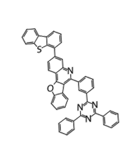 c1ccc(-c2nc(-c3ccccc3)nc(-c3cccc(-c4nc5cc(-c6cccc7c6sc6ccccc67)ccc5c5oc6ccccc6c45)c3)n2)cc1